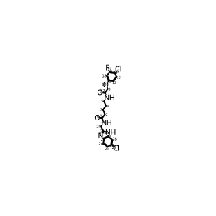 O=C(CCCCNC(=O)COc1ccc(Cl)c(F)c1)NCc1nc2ccc(Cl)cc2[nH]1